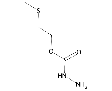 CSCCOC(=O)NN